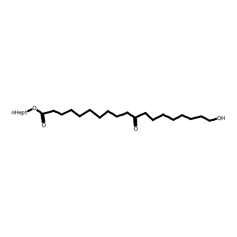 CCCCCCCOC(=O)CCCCCCCCCC(=O)CCCCCCCCO